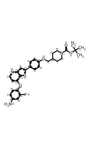 CC(C)(C)OC(=O)N1CCC(COc2ccc(-c3cc4nccc(Oc5ccc(N)cc5F)c4s3)cc2)CC1